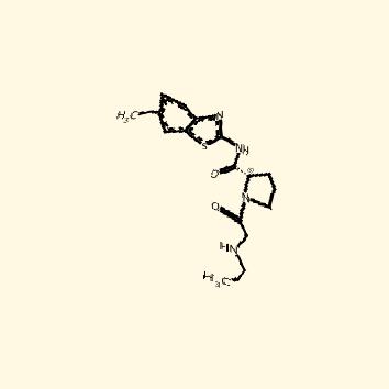 CCNCC(=O)N1CCC[C@H]1C(=O)Nc1nc2ccc(C)cc2s1